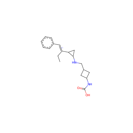 CC/C(=C\c1ccccc1)C1CC1NCC1CC(NC(=O)O)C1